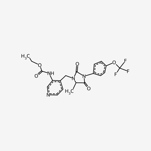 CCOC(=O)Nc1cnccc1CN1C(=O)N(c2ccc(OC(F)(F)F)cc2)C(=O)C1C